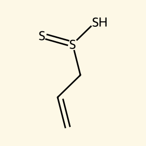 C=CCS(=S)S